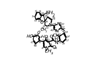 COc1cc(-c2cn(C)c(=O)c(C(=O)Nc3cccc(Sc4cnc(N5CCC6(CC5)Oc5ccccc5[C@H]6N)cn4)c3Cl)c2O)ccc1O